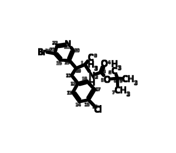 CC(NC(=O)OC(C)(C)C)C(Cc1ccc(Cl)cc1)c1cncc(Br)c1